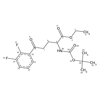 CCOC(=O)C(CCC(=O)c1cccc(F)c1F)NC(=O)OC(C)(C)C